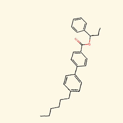 CCCCCCc1ccc(-c2ccc(C(=O)OC(CC)c3ccccc3)cc2)cc1